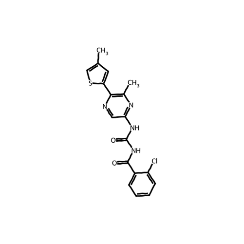 Cc1csc(-c2ncc(NC(=O)NC(=O)c3ccccc3Cl)nc2C)c1